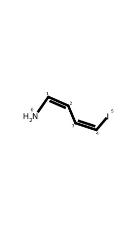 N/C=C\C=C/I